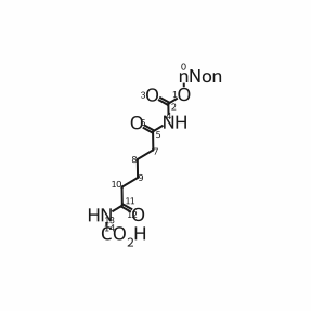 CCCCCCCCCOC(=O)NC(=O)CCCCC(=O)NC(=O)O